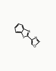 [c]1nc(-c2nc3ccccc3s2)co1